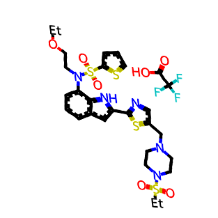 CCOCCN(c1cccc2cc(-c3ncc(CN4CCN(S(=O)(=O)CC)CC4)s3)[nH]c12)S(=O)(=O)c1cccs1.O=C(O)C(F)(F)F